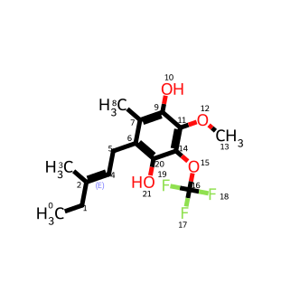 CC/C(C)=C/Cc1c(C)c(O)c(OC)c(OC(F)(F)F)c1O